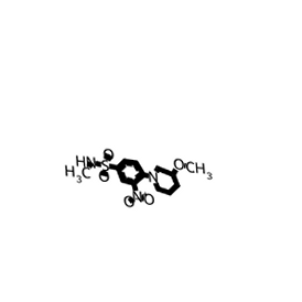 CNS(=O)(=O)c1ccc(N2CCCC(OC)C2)c([N+](=O)[O-])c1